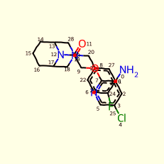 Nc1cc(Cl)cnc1OCC(=O)N1C2CCCC1CN(Cc1ccc(F)cc1)C2